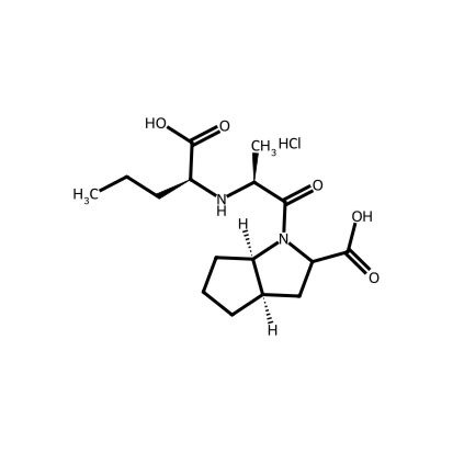 CCC[C@H](N[C@@H](C)C(=O)N1C(C(=O)O)C[C@H]2CCC[C@H]21)C(=O)O.Cl